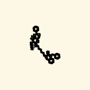 C[C@@H]1C(N=[N+]=[N-])[C@H](OCCCCCCN(Cc2ccccc2)C(=O)OCc2ccccc2)OC2COC(c3ccccc3)O[C@@H]21